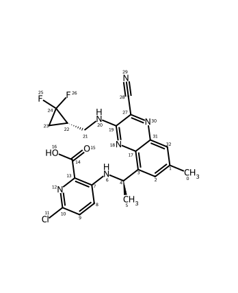 Cc1cc([C@@H](C)Nc2ccc(Cl)nc2C(=O)O)c2nc(NC[C@@H]3CC3(F)F)c(C#N)nc2c1